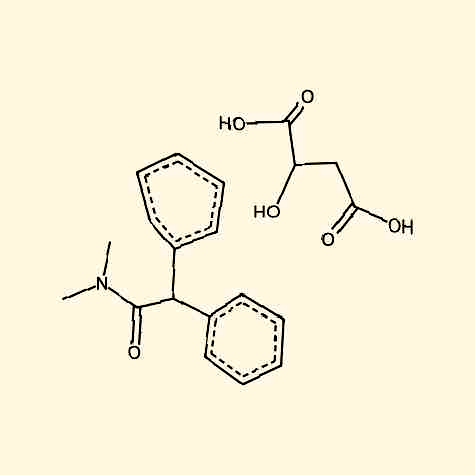 CN(C)C(=O)C(c1ccccc1)c1ccccc1.O=C(O)CC(O)C(=O)O